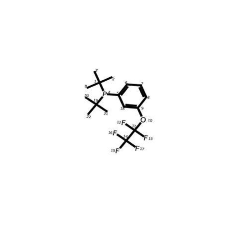 CC(C)(C)P(c1cccc(OC(F)(F)C(F)(F)F)c1)C(C)(C)C